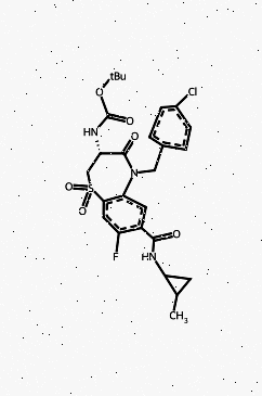 CC1CC1NC(=O)c1cc2c(cc1F)S(=O)(=O)C[C@H](NC(=O)OC(C)(C)C)C(=O)N2Cc1ccc(Cl)cc1